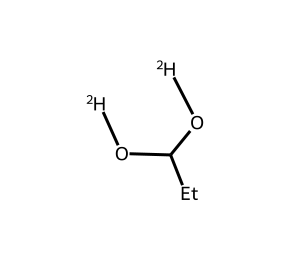 [2H]OC(CC)O[2H]